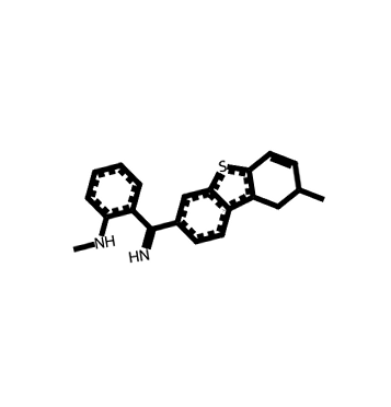 CNc1ccccc1C(=N)c1ccc2c3c(sc2c1)C=CC(C)C3